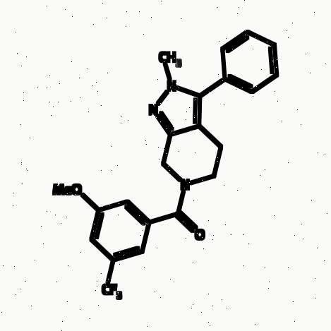 COc1cc(C(=O)N2CCc3c(nn(C)c3-c3ccccc3)C2)cc(C(F)(F)F)c1